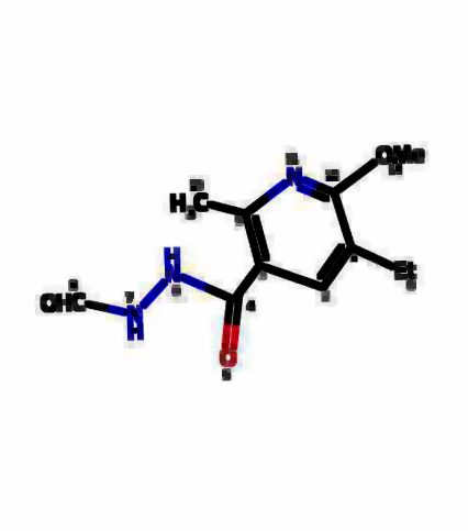 CCc1cc(C(=O)NNC=O)c(C)nc1OC